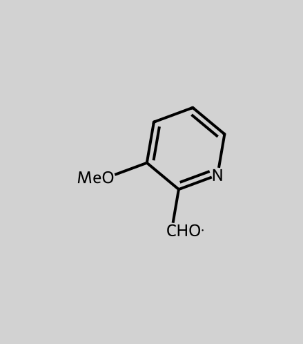 COc1cccnc1[C]=O